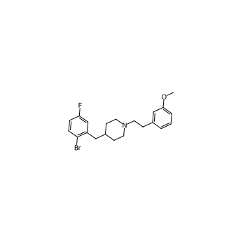 COc1cccc(CCN2CCC(Cc3cc(F)ccc3Br)CC2)c1